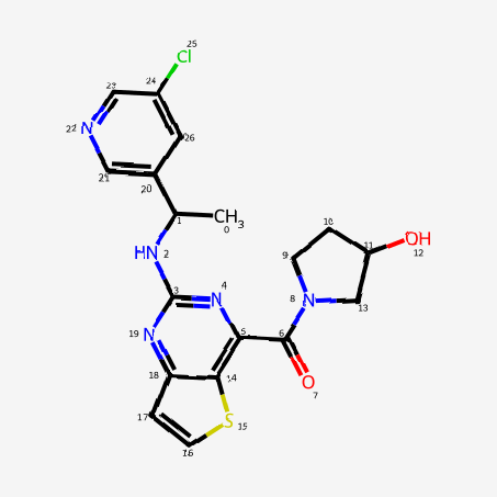 CC(Nc1nc(C(=O)N2CCC(O)C2)c2sccc2n1)c1cncc(Cl)c1